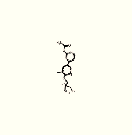 Cc1cc(-c2ccnc(OC(N)=O)n2)cnc1OC[C@](C)(N)CC(C)C